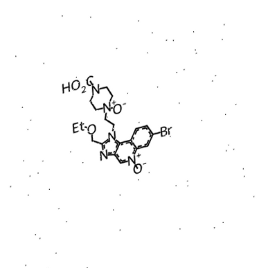 CCOCc1nc2c[n+]([O-])c3cc(Br)ccc3c2n1CC[N+]1([O-])CCN(C(=O)O)CC1